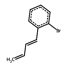 C=CC=Cc1ccccc1Br